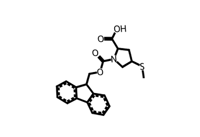 CSC1CC(C(=O)O)N(C(=O)OCC2c3ccccc3-c3ccccc32)C1